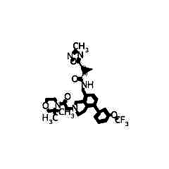 Cc1noc([C@H]2C[C@@H]2C(=O)NCc2ccc(-c3cccc(OC(F)(F)F)c3)c3c2CN(CC(=O)N2CCOCC2(C)C)CC3)n1